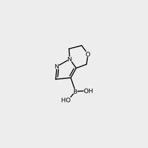 OB(O)c1cnn2c1COCC2